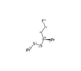 CC(C)SS[C@@H](CCF)C(C)C